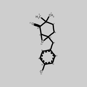 CC1(C)CCC2(Cc3ccc(Cl)cc3)OC2C1=O